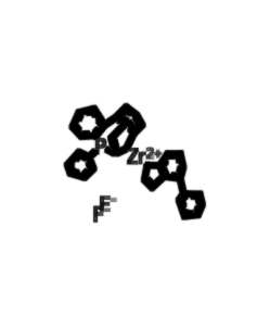 C1=C[CH]([Zr+2][CH]2C3=Cc4c(cccc42)-c2ccccc2P3c2ccccc2)c2cccc(-c3ccccc3)c21.[F-].[F-]